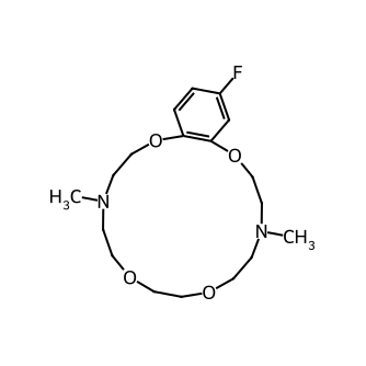 CN1CCOCCOCCN(C)CCOc2cc(F)ccc2OCC1